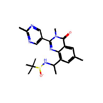 Cc1cc(C(C)N[S+]([O-])C(C)(C)C)c2nc(-c3cnc(C)nc3)n(C)c(=O)c2c1